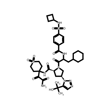 CC(C)(O)c1cnnn1[C@H]1C[C@@H](C(=O)NC2(C(=O)C(N)=O)CCS(=O)(=O)CC2)N(C(=O)C(CC2CCCCC2)NC(=O)c2ccc(S(=O)(=O)NC3CCC3)cc2)C1